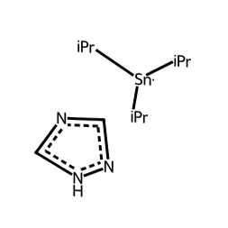 C[CH](C)[Sn]([CH](C)C)[CH](C)C.c1nc[nH]n1